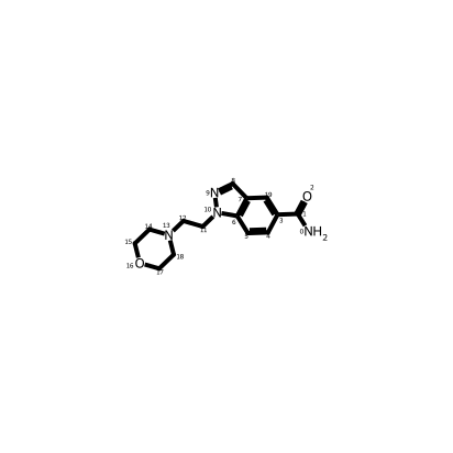 NC(=O)c1ccc2c(cnn2CCN2CCOCC2)c1